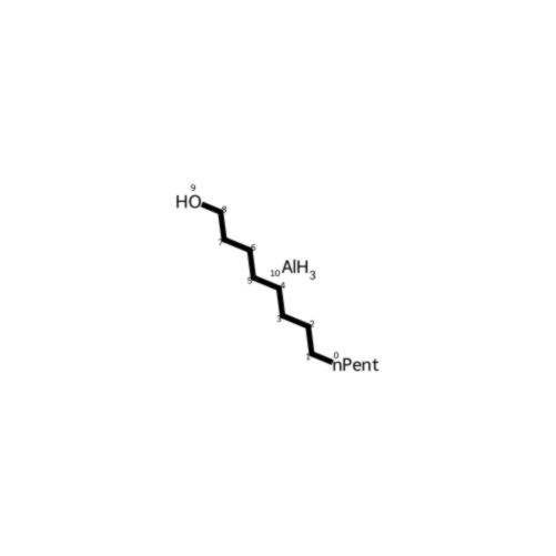 CCCCCCCCCCCCCO.[AlH3]